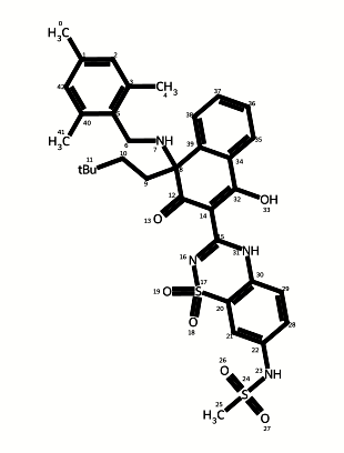 Cc1cc(C)c(CNC2(CCC(C)(C)C)C(=O)C(C3=NS(=O)(=O)c4cc(NS(C)(=O)=O)ccc4N3)=C(O)c3ccccc32)c(C)c1